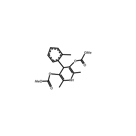 COC(=O)OC1=C(C)NC(C)=C(OC(=O)OC)C1c1ccccc1C